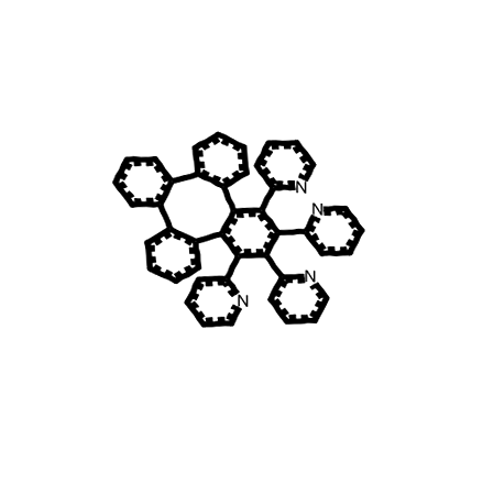 c1ccc(-c2c(-c3ccccn3)c(-c3ccccn3)c3c(c2-c2ccccn2)-c2ccccc2-c2ccccc2-c2ccccc2-3)nc1